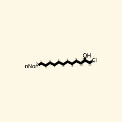 CCCCCCCCCCCCCCCCC[CH]CC(O)CCl